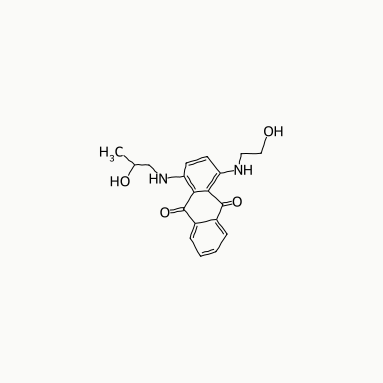 CC(O)CNc1ccc(NCCO)c2c1C(=O)c1ccccc1C2=O